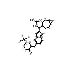 O=C(O)NC(c1cn2nc(CC3C[C@@H](C(F)(F)F)CNC3=O)ccc2n1)C1CCC2CC2CC1